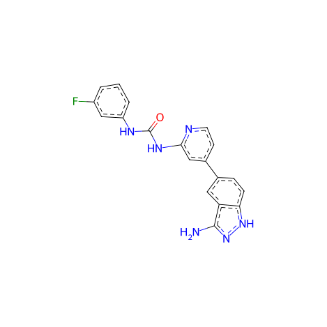 Nc1n[nH]c2ccc(-c3ccnc(NC(=O)Nc4cccc(F)c4)c3)cc12